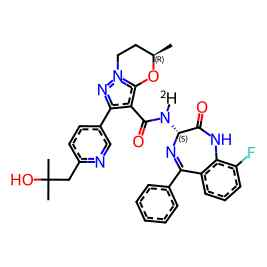 [2H]N(C(=O)c1c(-c2ccc(CC(C)(C)O)nc2)nn2c1O[C@H](C)CC2)[C@H]1N=C(c2ccccc2)c2cccc(F)c2NC1=O